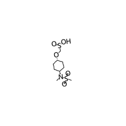 CN([C@H]1CC[C@H](OCS(=O)O)CC1)S(C)(=O)=O